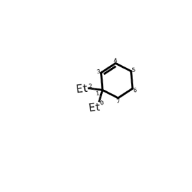 CCC1(CC)C=CCCC1